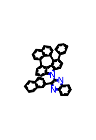 c1ccc(-c2ccc3c4c2-c2cccc5cccc(c25)-c2cccc(c24)n3-c2nc3ccccc3nc2-c2ccc3ccccc3c2)cc1